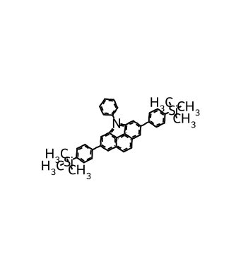 C[Si](C)(C)c1ccc(-c2cc3ccc4cc(-c5ccc([Si](C)(C)C)cc5)cc5c4c3c(c2)n5-c2ccccc2)cc1